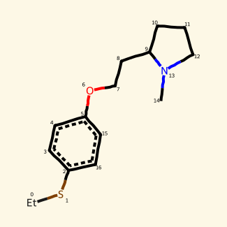 CCSc1ccc(OCCC2CCCN2C)cc1